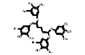 CC(C)(C)c1cc(SC(CCCC(Sc2cc(C(C)(C)C)c(O)c(C(C)(C)C)c2)Sc2cc(C(C)(C)C)c(O)c(C(C)(C)C)c2)Sc2cc(C(C)(C)C)c(O)c(C(C)(C)C)c2)cc(C(C)(C)C)c1O